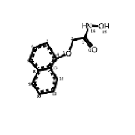 O=C(COc1cccc2ccccc12)NO